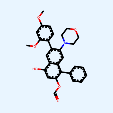 COc1ccc(-c2cc3c(O)cc(OC=O)c(-c4ccccc4)c3cc2N2CCOCC2)c(OC)c1